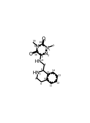 Cn1nc(NCC2NCCc3ccccc32)c(=O)n(C)c1=O